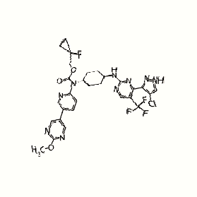 COc1ncc(-c2ccc(N(C(=O)OCC3(F)CC3)[C@H]3CC[C@H](Nc4ncc(C(F)(F)F)c(-c5n[nH]cc5Cl)n4)CC3)nc2)cn1